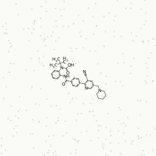 CC(C)(C)N(C(=O)O)c1ccccc1NC(=O)c1ccc(-c2ncc(CN3CCCCC3)cc2C#N)cc1